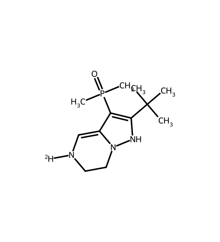 [2H]N1C=C2C(P(C)(C)=O)=C(C(C)(C)C)NN2CC1